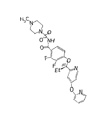 CC[C@@H](Oc1ccc(C(=O)NS(=O)(=O)N2CCN(C)CC2)c(F)c1F)c1cc(Oc2ccccn2)ccn1